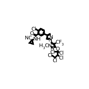 Cn1nc(OC(Cl)(Cl)C(Cl)C(Cl)Cl)c(C(F)(F)F)c1-n1cc(-c2ccc(Cl)c(C(=O)NC3(C#N)CC3)c2)cn1